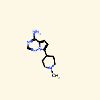 CN1CCC(c2ccc3c(N)ncnn23)CC1